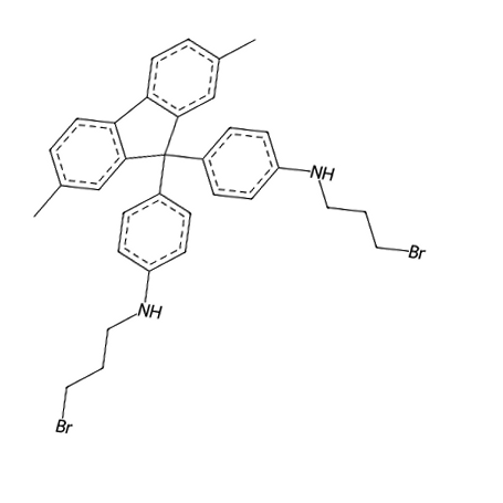 Cc1ccc2c(c1)C(c1ccc(NCCCBr)cc1)(c1ccc(NCCCBr)cc1)c1cc(C)ccc1-2